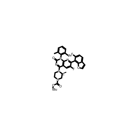 Cc1cccc(C(C)C)c1-n1c(=O)nc(N2CCN(C(=O)OC(C)(C)C)C[C@@H]2C)c2cc(F)c(-c3c(F)ccc4ccoc34)nc21